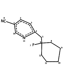 N#Cc1ccc(CC2(F)CCCCC2)nc1